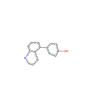 Oc1ccc(-c2cccc3ncccc23)cc1